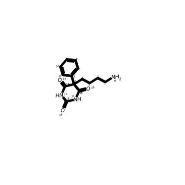 NCCCCC1(c2ccccc2)C(=O)NC(=O)NC1=O